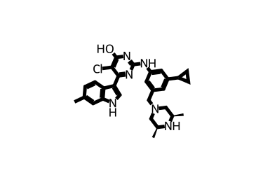 Cc1ccc2c(-c3nc(Nc4cc(CN5C[C@@H](C)N[C@@H](C)C5)cc(C5CC5)c4)nc(O)c3Cl)c[nH]c2c1